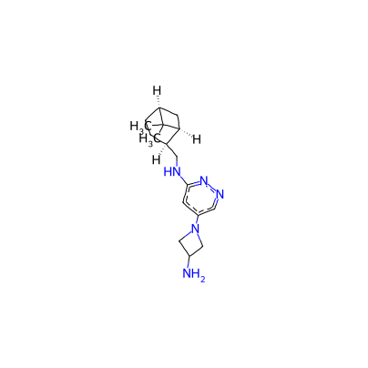 CC1(C)[C@H]2CC[C@H](CNc3cc(N4CC(N)C4)cnn3)[C@@H]1C2